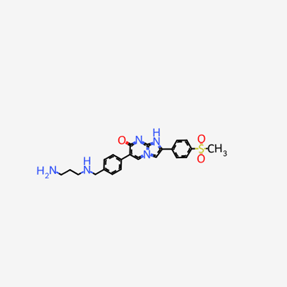 CS(=O)(=O)c1ccc(-c2cn3cc(-c4ccc(CNCCCN)cc4)c(=O)nc3[nH]2)cc1